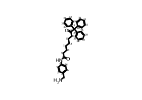 NCc1ccc(NC(=O)CCCCCCC(=O)C(c2ccccc2)(c2ccccc2)c2ccccc2)cc1